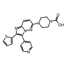 O=C(O)N1CCN(c2ccc3nc(-c4cccs4)c(-c4ccncc4)n3n2)CC1